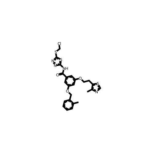 Cc1ccccc1COc1cc(OCCc2scnc2C)cc(C(=O)Nc2nnc(SCCl)s2)c1